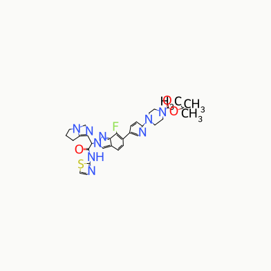 CC(C)(C)OC(=O)N1CCN(c2ccc(-c3ccc4cn([C@@H](C(=O)Nc5nccs5)c5ncn6c5CCC6)nc4c3F)cn2)CC1